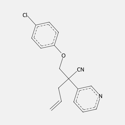 C=CCC(C#N)(COc1ccc(Cl)cc1)c1cccnc1